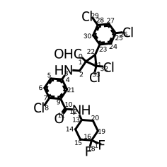 O=CC1(CNc2ccc(Cl)c(C(=O)NC3CCC(F)(F)CC3)c2)C(c2cc(Cl)cc(Cl)c2)C1(Cl)Cl